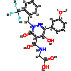 COc1cccc(-c2nn(Cc3ccccc3C(F)(F)F)c(=O)c(C(=O)NCC(=O)O)c2O)c1